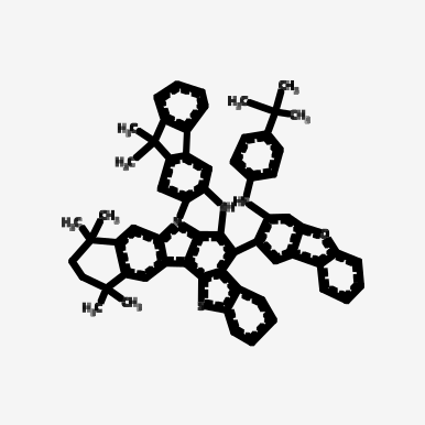 CC(C)(C)c1ccc(Nc2cc3oc4ccccc4c3cc2-c2c3c4c(c5cc6c(cc5n4-c4cc5c(cc4B3)-c3ccccc3C5(C)C)C(C)(C)CCC6(C)C)c3sc4ccccc4c23)cc1